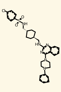 O=S(=O)(NC[C@H]1CC[C@H](CNc2nc(N3CCN(c4ccccc4)CC3)c3ccccc3n2)CC1)c1ccc(Cl)cc1